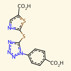 O=C(O)c1ccc(-n2nnnc2Sc2ncc(C(=O)O)s2)cc1